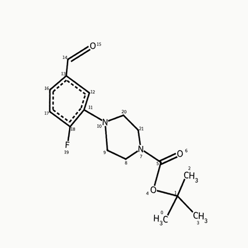 CC(C)(C)OC(=O)N1CCN(c2cc(C=O)ccc2F)CC1